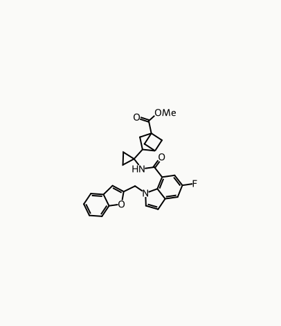 COC(=O)C12CC(C1)C(C1(NC(=O)c3cc(F)cc4ccn(Cc5cc6ccccc6o5)c34)CC1)C2